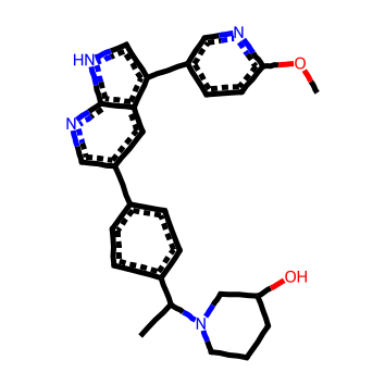 COc1ccc(-c2c[nH]c3ncc(-c4ccc(C(C)N5CCCC(O)C5)cc4)cc23)cn1